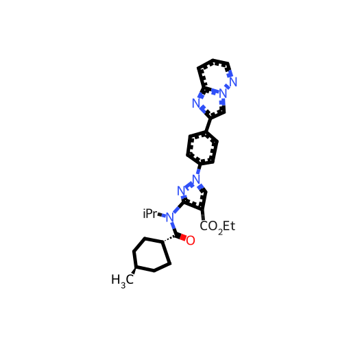 CCOC(=O)c1cn(-c2ccc(-c3cn4ncccc4n3)cc2)nc1N(C(=O)[C@H]1CC[C@H](C)CC1)C(C)C